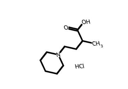 CC(CCN1CCCCC1)C(=O)O.Cl